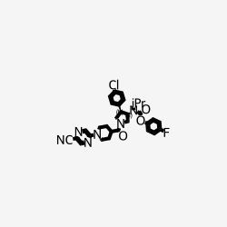 CC(C)N(C(=O)Oc1ccc(F)cc1)[C@@H]1CN(C(=O)C2CCN(c3cnc(C#N)cn3)CC2)C[C@H]1c1ccc(Cl)cc1